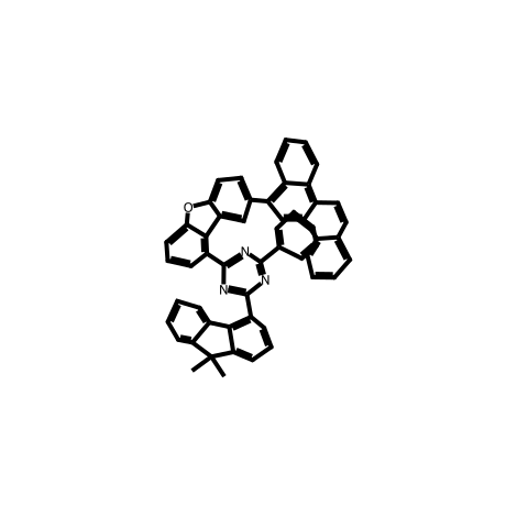 CC1(C)c2ccccc2-c2c(-c3nc(-c4ccccc4)nc(-c4cccc5oc6ccc(-c7cc8c9ccccc9ccc8c8ccccc78)cc6c45)n3)cccc21